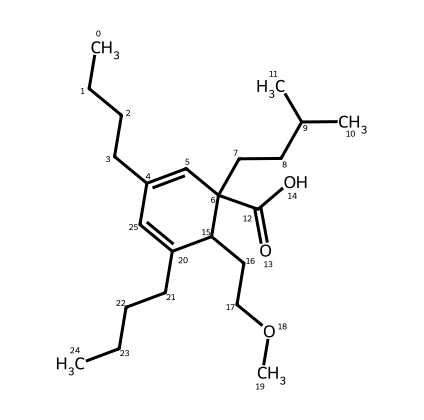 CCCCC1=CC(CCC(C)C)(C(=O)O)C(CCOC)C(CCCC)=C1